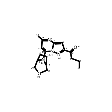 CCCC(=O)c1cc2nc(C)cc(N3C4CCC3COC4)n2n1